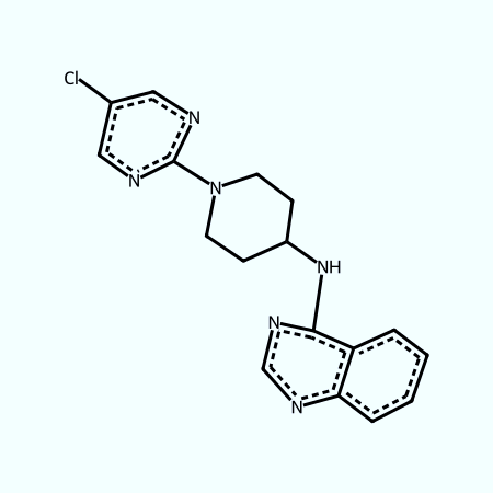 Clc1cnc(N2CCC(Nc3ncnc4ccccc34)CC2)nc1